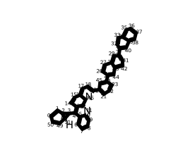 C1=CC2C(c3c4ccccc4nc4c3ccc3ccc(-c5cccc(-c6ccc7cc(-c8ccc9ccccc9c8)ccc7c6)c5)nc34)[C@H]2C=C1